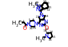 C=CC(=O)N1CCN(c2nc(OC[C@@H]3CCCN3C)nc3c2CN(c2nn(C)c4ccccc24)C3)CC1